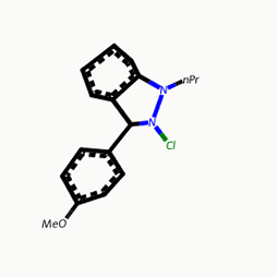 CCCN1c2ccccc2C(c2ccc(OC)cc2)N1Cl